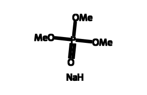 COP(=O)(OC)OC.[NaH]